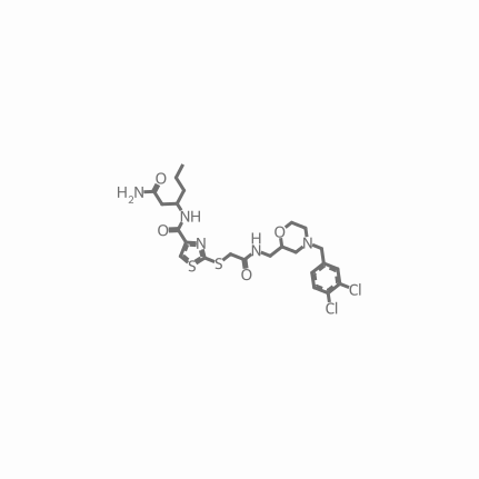 CCCC(CC(N)=O)NC(=O)c1csc(SCC(=O)NCC2CN(Cc3ccc(Cl)c(Cl)c3)CCO2)n1